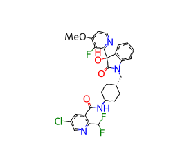 COc1ccnc(C2(O)C(=O)N(C[C@H]3CC[C@H](NC(=O)c4cc(Cl)cnc4C(F)F)CC3)c3ccccc32)c1F